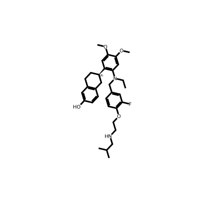 CCN(Cc1ccc(OCCNCC(C)C)c(F)c1)c1cc(OC)c(OC)cc1[C@@H]1CCc2cc(O)ccc2C1